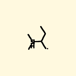 [CH2]C(CC)[SiH](C)C